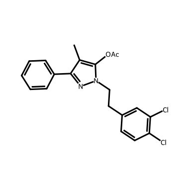 CC(=O)Oc1c(C)c(-c2ccccc2)nn1CCc1ccc(Cl)c(Cl)c1